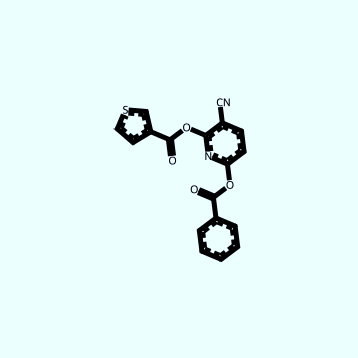 N#Cc1ccc(OC(=O)c2ccccc2)nc1OC(=O)c1c[c]sc1